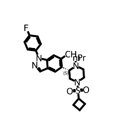 CCCN1CCN(S(=O)(=O)C2CCC2)C[C@@H]1c1cc2cnn(-c3ccc(F)cc3)c2cc1C